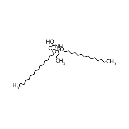 CCCCCCCCCCCCCCOC(CCC)(NC(=O)O)OCCCCCCCCCCCCCC